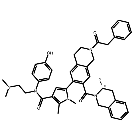 Cc1c(C(=O)N(CCN(C)C)c2ccc(O)cc2)cc(-c2cc3c(cc2C(=O)N2Cc4ccccc4C[C@H]2C)CN(C(=O)Cc2ccccc2)CC3)n1C